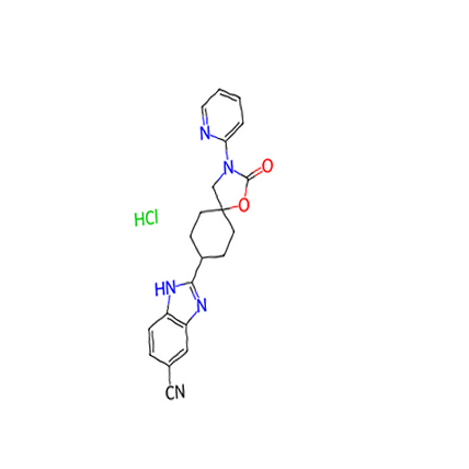 Cl.N#Cc1ccc2[nH]c(C3CCC4(CC3)CN(c3ccccn3)C(=O)O4)nc2c1